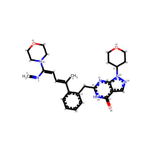 C=N/C(=C\C=C(/C)c1ccccc1Cc1nc2c(cnn2C2CCOCC2)c(=O)[nH]1)N1CCOCC1